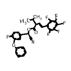 CC(C)C(C=Cc1c(F)c(F)c(F)c(F)c1F)C(=O)OC(C#N)c1ccc(F)c(Oc2ccccc2)c1